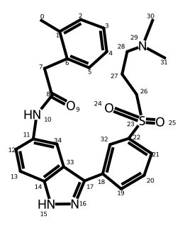 Cc1ccccc1CC(=O)Nc1ccc2[nH]nc(-c3cccc(S(=O)(=O)CCCN(C)C)c3)c2c1